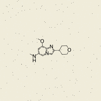 CNc1cc(OC)c2nc(C3CCOCC3)cn2c1